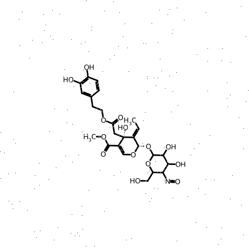 C/C=C1/[C@H](OC2OC(CO)C(N=O)C(O)C2O)OC=C(C(=O)OC)[C@@]1(O)CC(=O)OCCc1ccc(O)c(O)c1